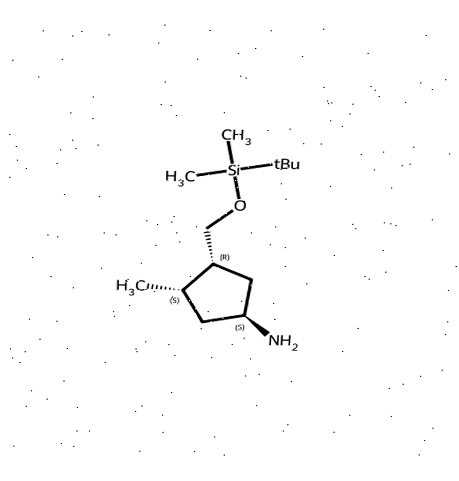 C[C@H]1C[C@H](N)C[C@H]1CO[Si](C)(C)C(C)(C)C